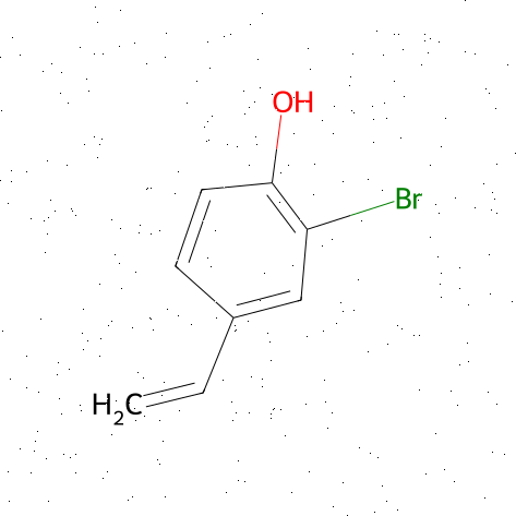 C=Cc1ccc(O)c(Br)c1